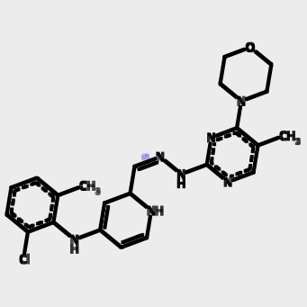 Cc1cnc(N/N=C\C2C=C(Nc3c(C)cccc3Cl)C=CN2)nc1N1CCOCC1